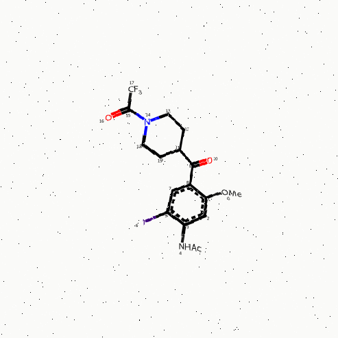 COc1cc(NC(C)=O)c(I)cc1C(=O)C1CCN(C(=O)C(F)(F)F)CC1